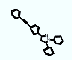 C(#Cc1ccc(C2=NN(c3ccccc3)C(c3ccccc3)C2)cc1)c1ccccc1